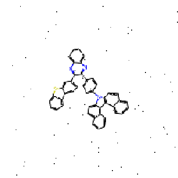 c1ccc2c(c1)ccc1c2c2c3ccccc3ccc2n1-c1ccc(-c2nc3ccccc3nc2-c2ccc3c(c2)sc2ccccc23)cc1